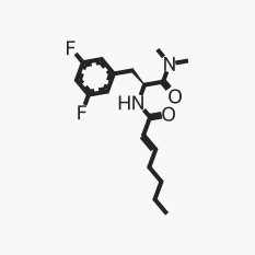 CCCC/C=C/C(=O)N[C@@H](Cc1cc(F)cc(F)c1)C(=O)N(C)C